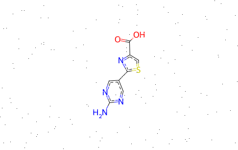 Nc1ncc(-c2nc(C(=O)O)cs2)cn1